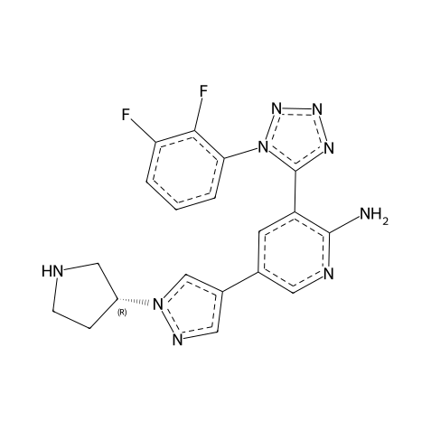 Nc1ncc(-c2cnn([C@@H]3CCNC3)c2)cc1-c1nnnn1-c1cccc(F)c1F